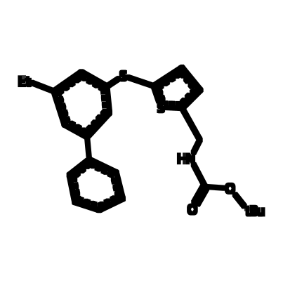 CCc1cc(Sc2ccc(CNC(=O)OC(C)(C)C)s2)cc(-c2ccccc2)c1